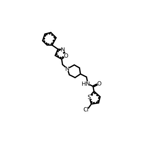 O=C(NCC1CCN(Cc2cc(-c3ccccc3)no2)CC1)c1ccc(Cl)s1